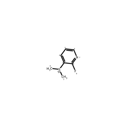 C[SH](C)c1cccnc1F